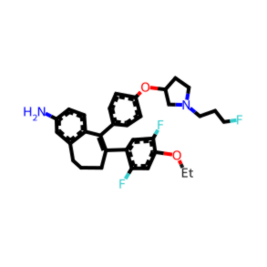 CCOc1cc(F)c(C2=C(c3ccc(OC4CCN(CCCF)C4)cc3)c3ccc(N)cc3CCC2)cc1F